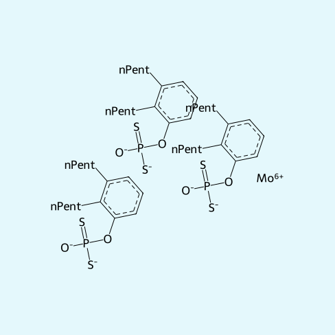 CCCCCc1cccc(OP([O-])(=S)[S-])c1CCCCC.CCCCCc1cccc(OP([O-])(=S)[S-])c1CCCCC.CCCCCc1cccc(OP([O-])(=S)[S-])c1CCCCC.[Mo+6]